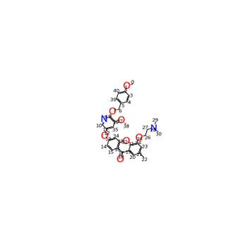 COc1ccc(COc2ncc(Oc3ccc4c(=O)c5cc(C)cc(OCCN(C)C)c5oc4c3)cc2OC)cc1